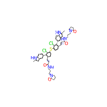 Cc1cc2cc(-c3c(/C=C/C(=O)NCCCN4CCCC4=O)ccc(Sc4ccc(/C=C/C(=O)NCCCN5CCCC5=O)c(-c5ccc6[nH]c(C)cc6c5)c4Cl)c3Cl)ccc2[nH]1